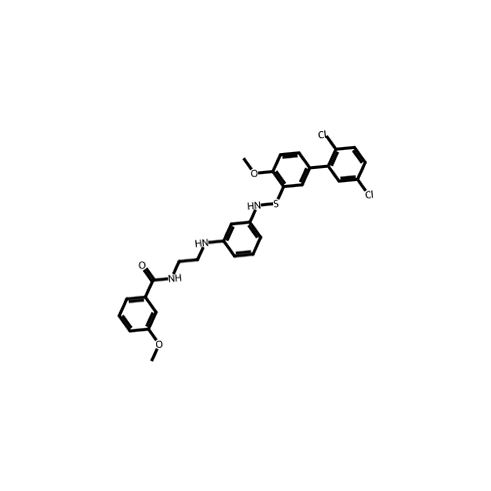 COc1cccc(C(=O)NCCNc2cccc(NSc3cc(-c4cc(Cl)ccc4Cl)ccc3OC)c2)c1